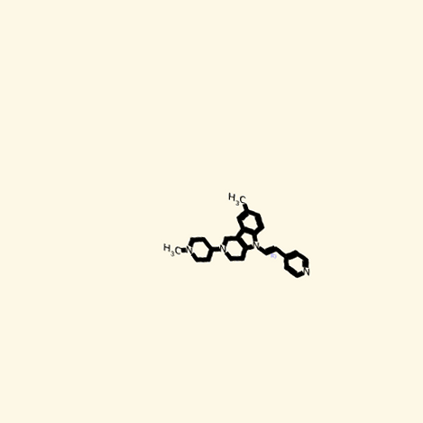 Cc1ccc2c(c1)c1c(n2/C=C/c2ccncc2)CCN(C2CCN(C)CC2)C1